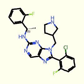 C[C@H](Nc1ncc2nc(-c3c(F)cccc3Cl)n(CC3CCNC3)c2n1)c1ccccc1F